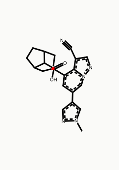 Cn1cc(-c2cc(N3CC4CCC(C3)C4C(=O)O)c3c(C#N)cnn3c2)cn1